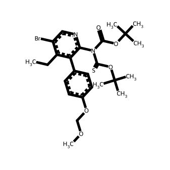 CCc1c(Br)cnc(N(C(=O)OC(C)(C)C)C(=S)OC(C)(C)C)c1-c1ccc(OCOC)cc1